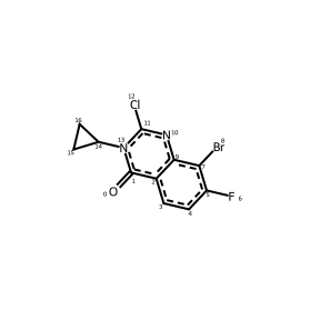 O=c1c2ccc(F)c(Br)c2nc(Cl)n1C1CC1